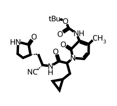 Cc1ccn(C(CC2CC2)C(=O)N[C@H](C#N)C[C@@H]2CCNC2=O)c(=O)c1NC(=O)OC(C)(C)C